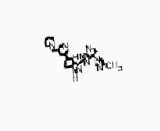 Cc1cn(-c2ccnc3[nH]c(-c4n[nH]c5ccc(-c6cncc(CN7CCCCC7)c6)cc45)nc23)cn1